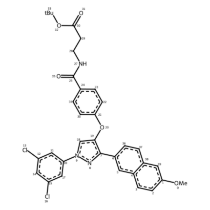 COc1ccc2cc(-c3nn(-c4cc(Cl)cc(Cl)c4)cc3Oc3ccc(C(=O)NCCC(=O)OC(C)(C)C)cc3)ccc2c1